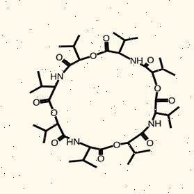 CC(C)C1NC(=O)C(C(C)C)OC(=O)C(C(C)C)NC(=O)C(C(C)C)OC(=O)C(C(C)C)NC(=O)C(C(C)C)OC(=O)C(C(C)C)NC(=O)C(C(C)C)OC1=O